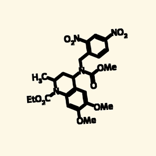 CCOC(=O)N1c2cc(OC)c(OC)cc2C(N(Cc2ccc([N+](=O)[O-])cc2[N+](=O)[O-])C(=O)OC)CC1C